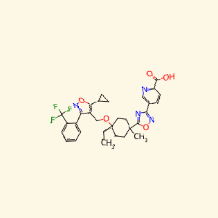 CCC1(OCc2c(-c3ccccc3C(F)(F)F)noc2C2CC2)CCC(C)(c2nc(-c3ccc(C(=O)O)nc3)no2)CC1